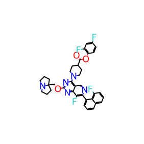 O=C(Oc1ccc(F)cc1F)C1CCN(c2nc(OCC34CCCN3CCC4)nc3c(F)c(-c4cccc5cccc(F)c45)ncc23)CC1